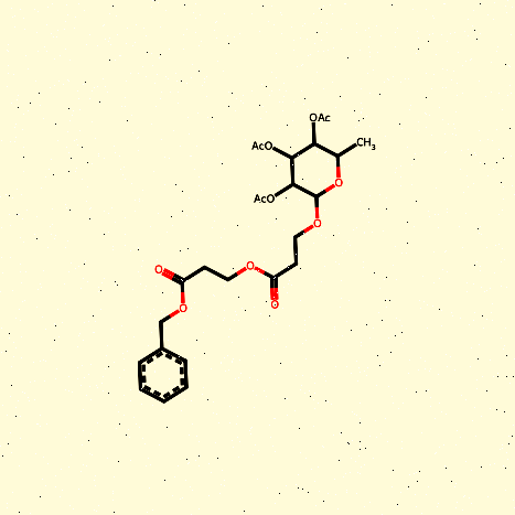 CC(=O)OC1C(C)OC(OCCC(=O)OCCC(=O)OCc2ccccc2)C(OC(C)=O)C1OC(C)=O